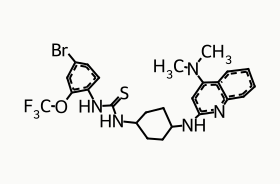 CN(C)c1cc(NC2CCC(NC(=S)Nc3ccc(Br)cc3OC(F)(F)F)CC2)nc2ccccc12